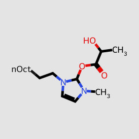 CCCCCCCCCCN1C=CN(C)C1OC(=O)C(C)O